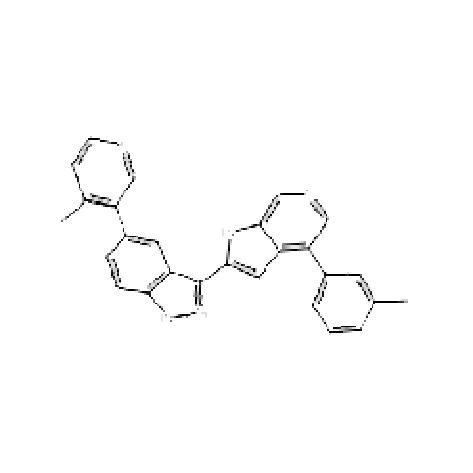 Cc1ccncc1-c1ccc2[nH]nc(-c3cc4c(-c5cccc(F)c5)cncc4[nH]3)c2c1